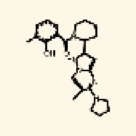 CC1=CN2NC(C3CCCCN3C(=O)c3cccc(C)c3O)C=C2N=C1N1CCCC1